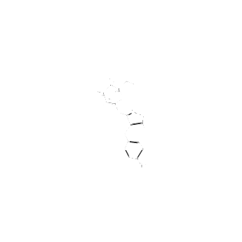 CC(C)c1ccc(Cc2c(O[C@@H]3O[C@H](CO)[C@@H](O)[C@H](O)[C@H]3O)n[nH]c2C(F)(F)F)cc1